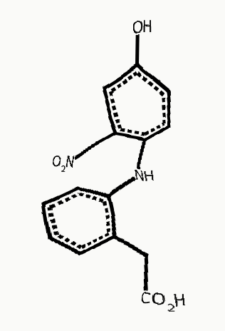 O=C(O)Cc1ccccc1Nc1ccc(O)cc1[N+](=O)[O-]